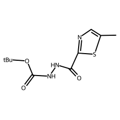 Cc1cnc(C(=O)NNC(=O)OC(C)(C)C)s1